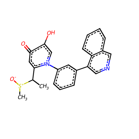 CC(c1cc(=O)c(O)cn1-c1cccc(-c2cncc3ccccc23)c1)[S+](C)[O-]